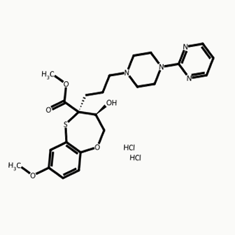 COC(=O)[C@]1(CCCN2CCN(c3ncccn3)CC2)Sc2cc(OC)ccc2OC[C@@H]1O.Cl.Cl